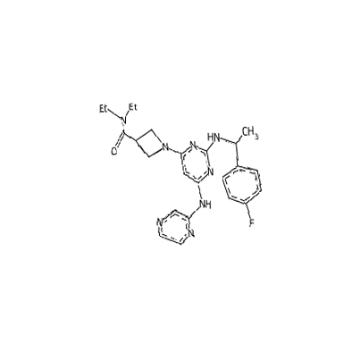 CCN(CC)C(=O)C1CN(c2cc(Nc3cnccn3)nc(NC(C)c3ccc(F)cc3)n2)C1